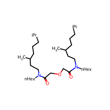 CCCCCCN(CCC(C)CCCC(C)C)C(=O)COCC(=O)N(CCCCCC)CCC(C)CCCC(C)C